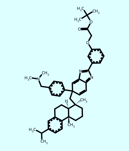 CC(C)c1ccc2c(c1)CC[C@H]1[C@@](C)(CC3(c4ccc(CN(C)C)cc4)C=CC4=NC(c5cccc(OCC(=O)OC(C)(C)C)c5)=NC4=C3)CCC[C@]21C